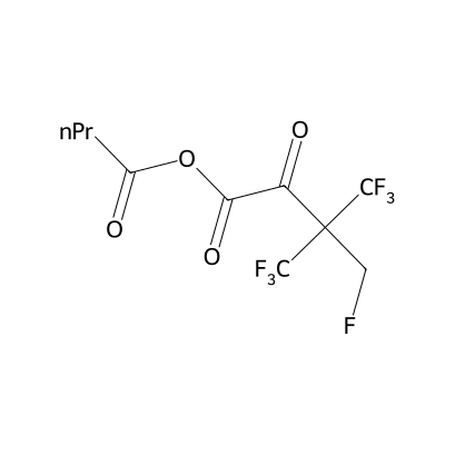 CCCC(=O)OC(=O)C(=O)C(CF)(C(F)(F)F)C(F)(F)F